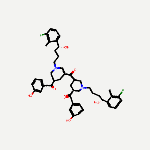 Cc1c(F)cccc1[C@H](O)CCCN1CC(C(=O)c2cccc(O)c2)CC(C(=O)C2CC(C(=O)c3cccc(O)c3)CN(CCC[C@@H](O)c3cccc(F)c3C)C2)C1